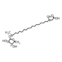 C[C@H](CCCCCCCCCCCCCCCCC[C@@H](O)CC(=O)O)O[C@@H]1O[C@@H](C)[C@H](O)C[C@H]1O